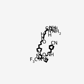 N#Cc1ccc(CCNC(=O)[C@@H]2CCCN2c2cc(N3CCC(CCCC(=O)NCCCCC(NC(=N)N)C(=O)O)CC3)nc(C(F)(F)F)n2)cc1